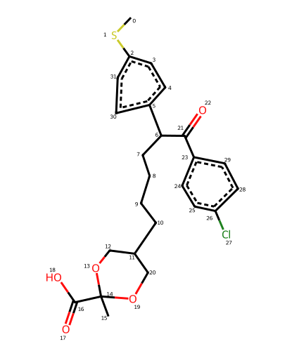 CSc1ccc(C(CCCCC2COC(C)(C(=O)O)OC2)C(=O)c2ccc(Cl)cc2)cc1